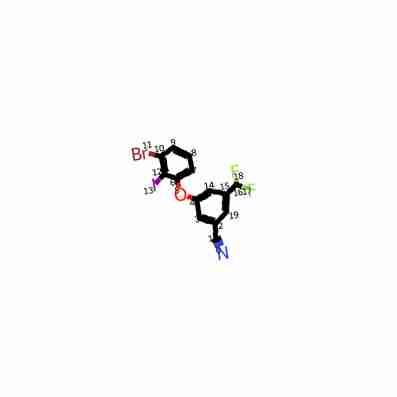 N#Cc1cc(Oc2cccc(Br)c2I)cc(C(F)F)c1